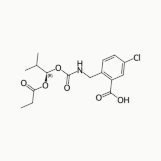 CCC(=O)O[C@H](OC(=O)NCc1ccc(Cl)cc1C(=O)O)C(C)C